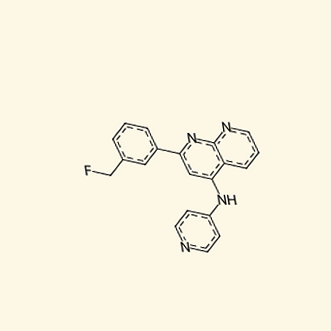 FCc1cccc(-c2cc(Nc3ccncc3)c3cccnc3n2)c1